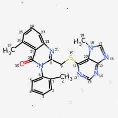 Cc1ccccc1-n1c(CSc2ncnc3ncn(C)c23)nc2cccc(C)c2c1=O